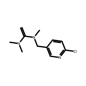 C=C(N(C)C)N(C)Cc1ccc(Cl)nc1